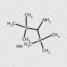 C[Si](C)(C)[CH]([AlH2])[Si](C)(C)C.[HH]